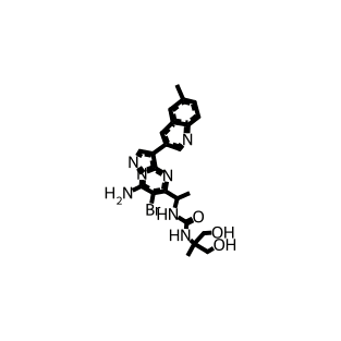 Cc1ccc2ncc(-c3cnn4c(N)c(Br)c(C(C)NC(=O)NC(C)(CO)CO)nc34)cc2c1